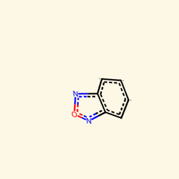 [c]1[c]cc2nonc2[c]1